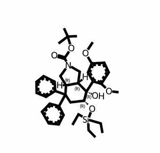 CC[Si](CC)(CC)O[C@@H]1CC(c2ccccc2)(c2ccccc2)[C@@H]2CN(C(=O)OC(C)(C)C)C[C@@H]2[C@@]1(O)c1cc(OC)ccc1OC